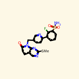 CSc1ncc2ccc(=O)n(Cc3ccc(-c4cccc(S(N)(=O)=O)c4F)nc3)c2n1